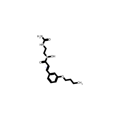 CCCCOc1cccc(/C=C/C(=O)N(O)CCNC(N)=O)c1